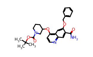 CC(C)(C)OC(=O)N1CCCC(Oc2ccnc3cc(C(N)=O)c(OCc4ccccc4)cc23)C1